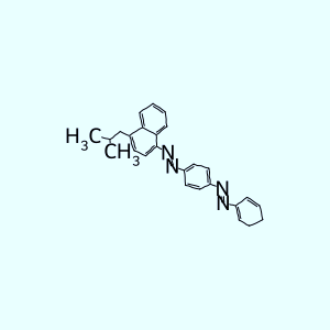 CC(C)Cc1ccc(N=Nc2ccc(N=NC3=CCCC=C3)cc2)c2ccccc12